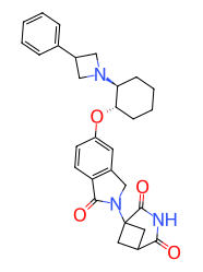 O=C1NC(=O)C2(N3Cc4cc(O[C@H]5CCCC[C@@H]5N5CC(c6ccccc6)C5)ccc4C3=O)CC1C2